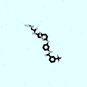 CNCC(=O)Nc1cn2nc(Oc3cccc(NC(=O)c4cccc(C(F)(F)F)c4)c3)ccc2n1